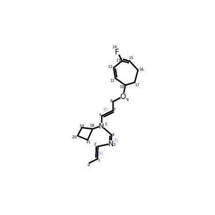 C/C=C/N=C\N(/C=C/COC1C=CC(F)=CCC1)C1CCC1